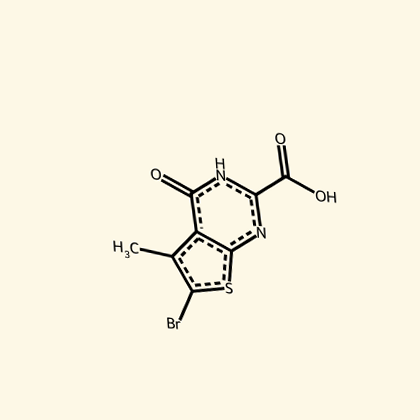 Cc1c(Br)sc2nc(C(=O)O)[nH]c(=O)c12